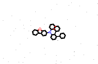 c1ccc(-c2cccc(N(c3ccccc3)c3ccc4c(c3)oc3ccccc34)c2-c2ccccc2)cc1